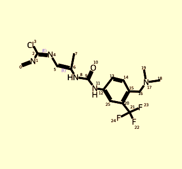 C=N/C(Cl)=N\C=C(/C)NC(=O)Nc1ccc(CN(C)C)c(C(F)(F)F)c1